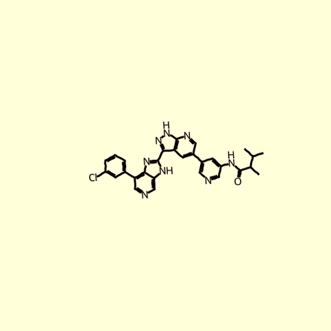 CC(C)C(C)C(=O)Nc1cncc(-c2cnc3[nH]nc(-c4nc5c(-c6cccc(Cl)c6)cncc5[nH]4)c3c2)c1